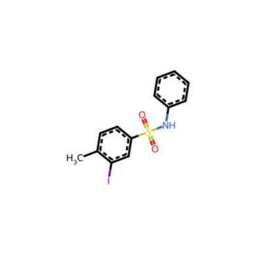 Cc1ccc(S(=O)(=O)Nc2ccccc2)cc1I